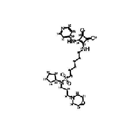 O=c1c(NCCCCCCS(=O)(=O)N(CCCN2CCOCC2)C2CCCC2)c(Nc2ccncc2)c1=O